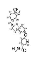 NC(=O)c1ccc(Oc2ccc3c(c2)CCN(Cc2ccc(C(F)(F)F)cc2)C3)nc1